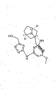 COc1cc(Nc2ncc(CO)s2)nc(N[C@@H]2C[C@H]3CC[C@@H](C2)N3CCC#N)n1